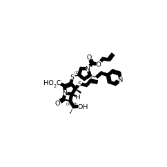 C=CCOC(=O)N1C[C@@H](SC2=C(C(=O)O)N3C(=O)[C@H]([C@@H](C)O)[C@H]3[C@@]2(C)SCC=C)C[C@H]1CCc1ccncc1